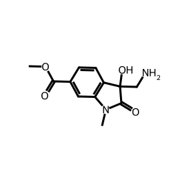 COC(=O)c1ccc2c(c1)N(C)C(=O)C2(O)CN